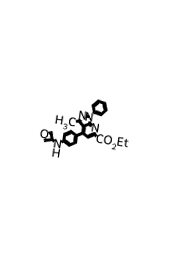 CCOC(=O)c1cc(-c2ccc(NC3COC3)cc2)c2c(C)nn(-c3ccccc3)c2n1